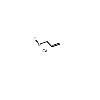 C=CCOF.[Cu]